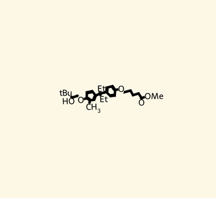 CCC(CC)(c1ccc(OCCCCC(=O)OC)cc1)c1ccc(OCC(O)C(C)(C)C)c(C)c1